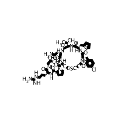 CC(C)CNC(=O)[C@@H](CCCNC(=N)N)NC(=O)[C@@H]1CCCN1C(=O)[C@@H]1CCSCCC(=O)N[C@@H](Cc2ccc(Cl)cc2)C(=O)N[C@@H](Cc2cccs2)C(=O)N[C@@H](C(C)C)C(=O)N[C@@H](CC(N)=O)C(=O)N1